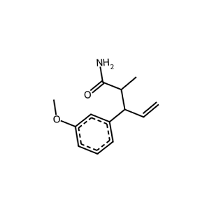 C=CC(c1cccc(OC)c1)C(C)C(N)=O